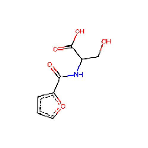 O=C(NC(CO)C(=O)O)c1ccco1